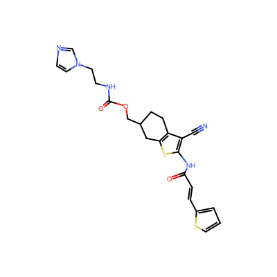 N#Cc1c(NC(=O)C=Cc2cccs2)sc2c1CCC(COC(=O)NCCn1ccnc1)C2